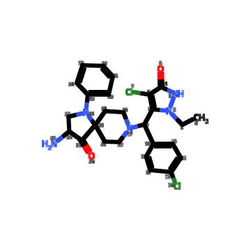 CCn1[nH]c(=O)c(Cl)c1C(c1ccc(Cl)cc1)N1CCC2(CC1)C(=O)C(N)CN2c1ccccc1